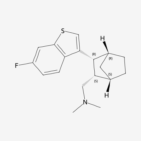 CN(C)C[C@H]1[C@H]2CC[C@H](C2)[C@H]1c1csc2cc(F)ccc12